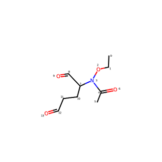 CCON(C(C)=O)C(C=O)CCC=O